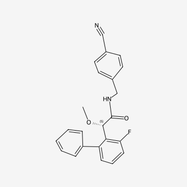 CO[C@H](C(=O)NCc1ccc(C#N)cc1)c1c(F)cccc1-c1ccccc1